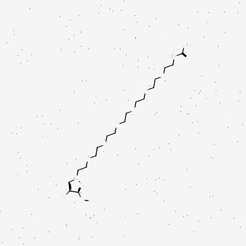 COc1nn(CCOCCOCCOCCOCCOCCOCCNC(=O)O)cc1N